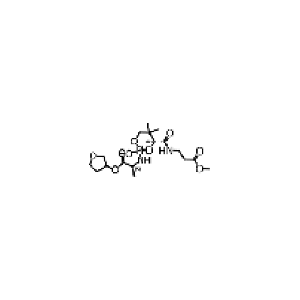 COC(=O)CCNC(=O)[C@@H]1O[PH](O)(N[C@@H](C)C(=O)OC2CCOC2)OCC1(C)C